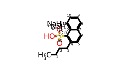 CCCCc1ccc2ccccc2c1S(=O)(=O)O.[NaH].[NaH]